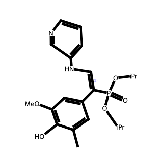 COc1cc(/C(=C\Nc2cccnc2)P(=O)(OC(C)C)OC(C)C)cc(C)c1O